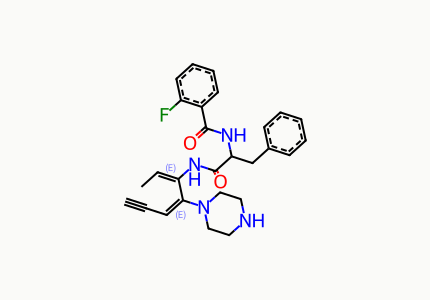 C#C/C=C(\C(=C/C)NC(=O)C(Cc1ccccc1)NC(=O)c1ccccc1F)N1CCNCC1